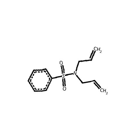 C=CCN(CC=C)S(=O)(=O)c1ccccc1